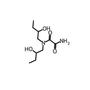 CCC(O)CN(CC(O)CC)C(=O)C(N)=O